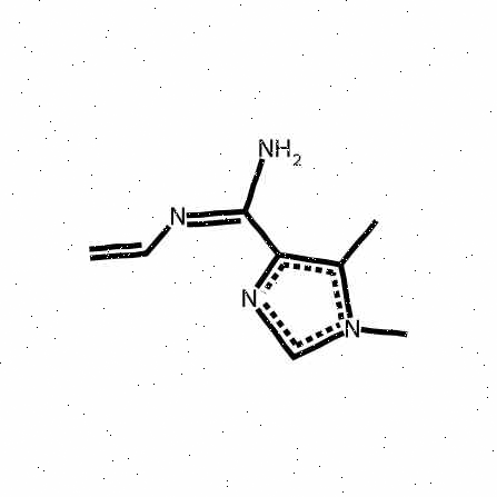 C=C/N=C(/N)c1ncn(C)c1C